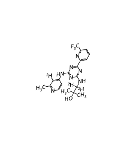 [2H]c1c(Nc2nc(NC([2H])([2H])C(C)(C)O)nc(-c3cccc(C(F)(F)F)n3)n2)ccnc1C